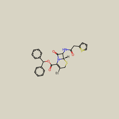 CCC1=C(C(=O)OC(c2ccccc2)c2ccccc2)N2C(=O)C(NC(=O)Cc3cccs3)[C@@H]2SC1